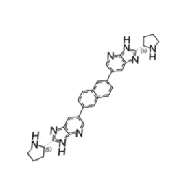 c1cc2cc(-c3cnc4[nH]c([C@@H]5CCCN5)nc4c3)ccc2cc1-c1cnc2[nH]c([C@@H]3CCCN3)nc2c1